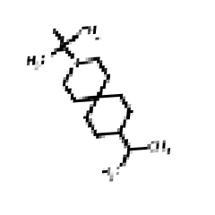 CC(C)C1CCC2(CC1)CCN(C(C)(C)I)CC2